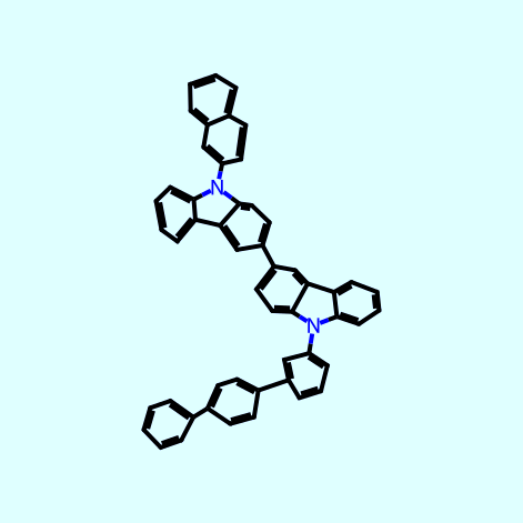 c1ccc(-c2ccc(-c3cccc(-n4c5ccccc5c5cc(-c6ccc7c(c6)c6ccccc6n7-c6ccc7ccccc7c6)ccc54)c3)cc2)cc1